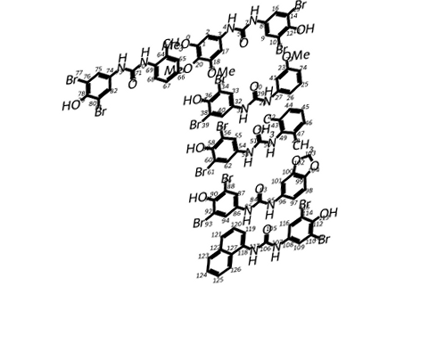 COc1cc(NC(=O)Nc2cc(Br)c(O)c(Br)c2)cc(OC)c1OC.COc1cccc(NC(=O)Nc2cc(Br)c(O)c(Br)c2)c1.Cc1cccc(C)c1NC(=O)Nc1cc(Br)c(O)c(Br)c1.Cc1ccccc1NC(=O)Nc1cc(Br)c(O)c(Br)c1.O=C(Nc1cc(Br)c(O)c(Br)c1)Nc1ccc2c(c1)OCO2.O=C(Nc1cc(Br)c(O)c(Br)c1)Nc1cccc2ccccc12